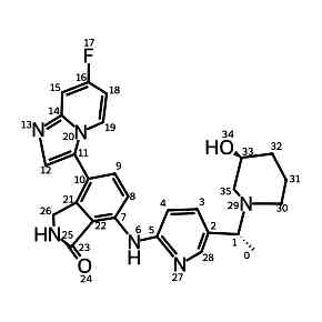 C[C@H](c1ccc(Nc2ccc(-c3cnc4cc(F)ccn34)c3c2C(=O)NC3)nc1)N1CCC[C@H](O)C1